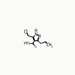 CCCc1n[nH]c(CCl)c1C(=O)O